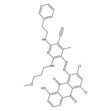 COCCCNc1nc(NCCc2ccccc2)c(C#N)c(C)c1/N=N/c1c(Cl)cc(Cl)c2c1C(=O)c1c(O)cccc1C2=O